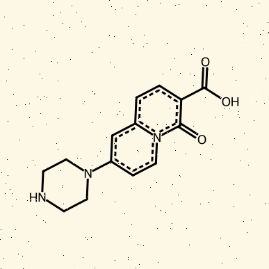 O=C(O)c1ccc2cc(N3CCNCC3)ccn2c1=O